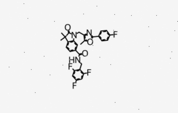 Cc1oc(-c2ccc(F)cc2)nc1CN1C(=O)C(C)(C)c2ccc(C(=O)NCc3c(F)cc(F)cc3F)cc21